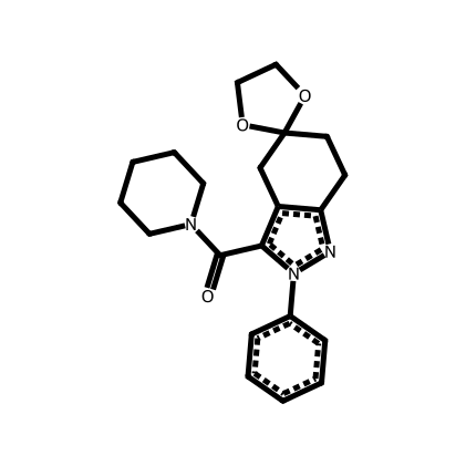 O=C(c1c2c(nn1-c1ccccc1)CCC1(C2)OCCO1)N1CCCCC1